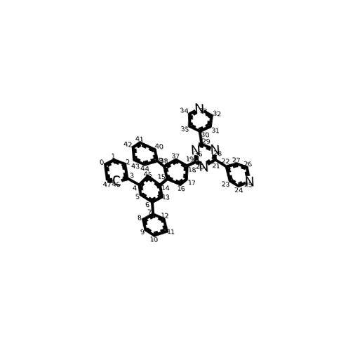 c1ccc(-c2cc(-c3ccccc3)cc(-c3ccc(-c4nc(-c5ccncc5)nc(-c5ccncc5)n4)cc3-c3ccccc3)c2)cc1